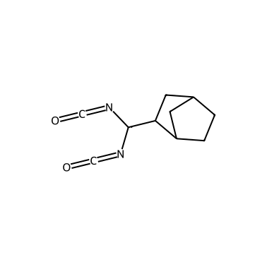 O=C=N[C](N=C=O)C1CC2CCC1C2